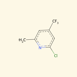 [CH2]c1cc(C(F)(F)F)cc(Cl)n1